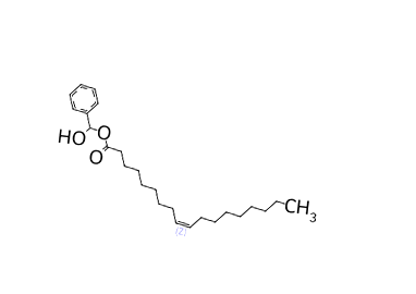 CCCCCCCC/C=C\CCCCCCCC(=O)OC(O)c1ccccc1